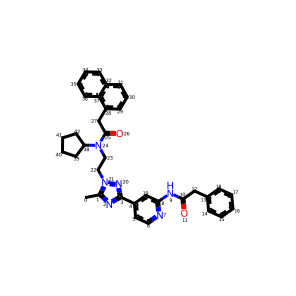 Cc1nc(-c2ccnc(NC(=O)Cc3ccccc3)c2)nn1CCN(C(=O)Cc1cccc2ccccc12)C1CCCC1